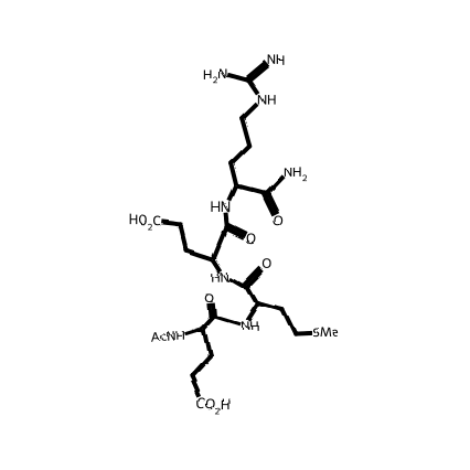 CSCCC(NC(=O)C(CCC(=O)O)NC(C)=O)C(=O)NC(CCC(=O)O)C(=O)NC(CCCNC(=N)N)C(N)=O